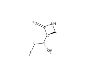 O=C1NC[C@H]1[C@H](O)CF